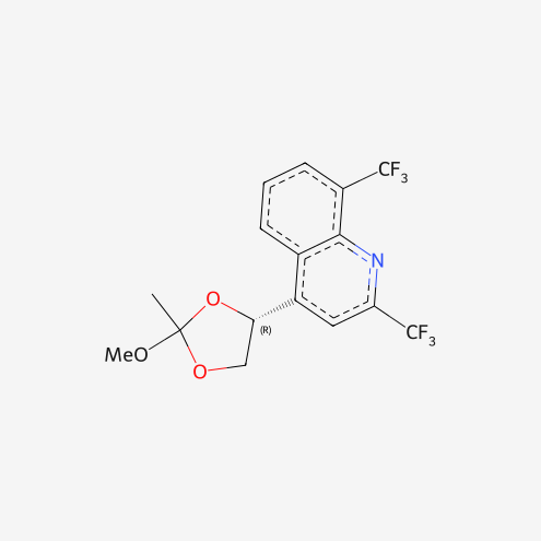 COC1(C)OC[C@@H](c2cc(C(F)(F)F)nc3c(C(F)(F)F)cccc23)O1